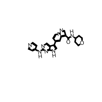 O=C(NC1CCOCC1)c1cnn2ccc(-c3c[nH]c4nc(Nc5ccncc5)ncc34)cc12